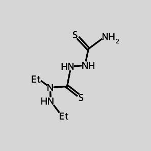 CCNN(CC)C(=S)NNC(N)=S